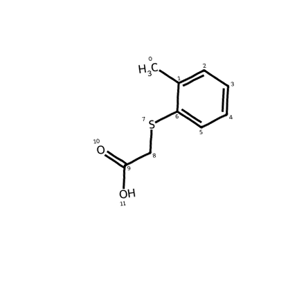 Cc1ccccc1SCC(=O)O